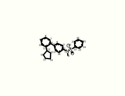 CN(c1ccc(-c2ccccc2C2CCCC2)cc1)S(=O)(=O)c1ccccc1